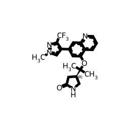 Cn1cc(-c2cc(OC(C)(C)[C@H]3CNC(=O)C3)c3cccnc3c2)c(C(F)(F)F)n1